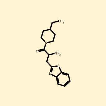 CCC1CCN(C(=O)C(N)Cc2nc3ccccc3s2)CC1